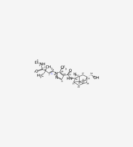 CCNC(=O)C(C)(C)/C=C/n1ncc(C(=O)N[C@H]2C3CC4CC2C[C@](CO)(C4)C3)c1C(F)(F)F